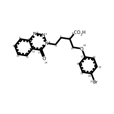 O=C(O)C(CCn1nnc2ccccc2c1=O)COc1ccc(Br)cc1